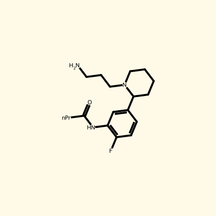 CCCC(=O)Nc1cc(C2CCCCN2CCCN)ccc1F